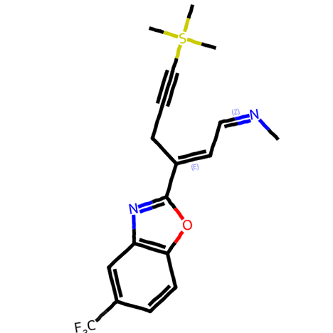 C/N=C\C=C(/CC#CS(C)(C)C)c1nc2cc(C(F)(F)F)ccc2o1